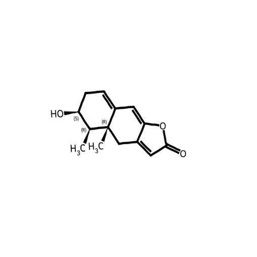 C[C@H]1[C@@H](O)CC=C2C=C3OC(=O)C=C3C[C@@]21C